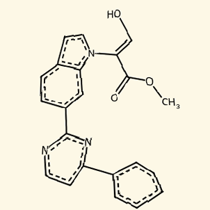 COC(=O)/C(=C/O)n1ccc2ccc(-c3nccc(-c4ccccc4)n3)cc21